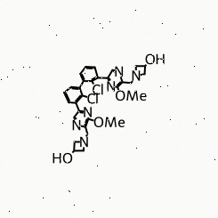 COc1nc(-c2cccc(-c3cccc(-c4cnc(CN5CC(O)C5)c(OC)n4)c3Cl)c2Cl)cnc1CN1CC(O)C1